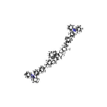 C[C@@H]1CC(c2ccc3c(c2)C2(CCc4ccccc42)c2cc(-c4ccc(/C=C/c5ccc(-c6ccc7c(c6)c6ccccc6n7-c6ccccc6)cc5)cc4)ccc2-3)=CC=C1/C=C/c1ccc(-c2ccc3c(c2)c2ccccc2n3-c2ccccc2)cc1